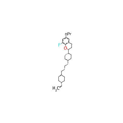 C=CC1CCC(CCCCC2CCC(C3CCc4cc(CCC)cc(F)c4O3)CC2)CC1